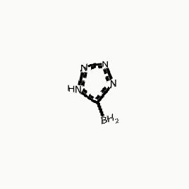 Bc1nnn[nH]1